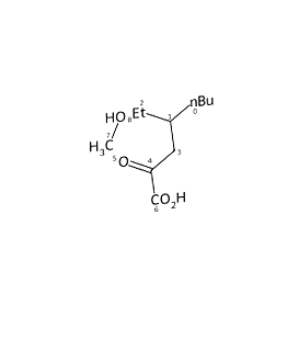 CCCCC(CC)CC(=O)C(=O)O.CO